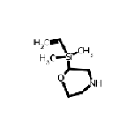 C=C[Si](C)(C)C1CNCCO1